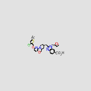 CC(=O)c1cc(Cl)c(COc2ccc3c(n2)N2CCC(Cc4nc5ccc(C(=O)O)cc5n4C[C@@H]4CCO4)CC2CO3)s1